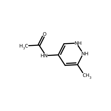 CC(=O)NC1=CNNC(C)=C1